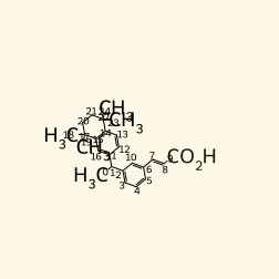 CC(c1cccc(C=CC(=O)O)c1)c1ccc2c(c1)C(C)(C)CCC2(C)C